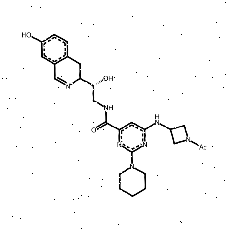 CC(=O)N1CC(Nc2cc(C(=O)NC[C@@H](O)C3Cc4ccc(O)cc4C=N3)nc(N3CCCCC3)n2)C1